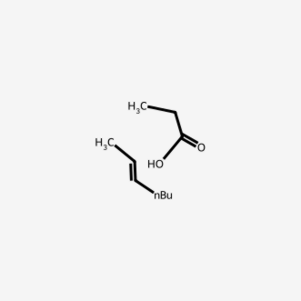 CC=CCCCC.CCC(=O)O